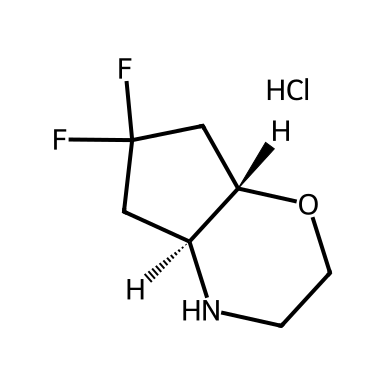 Cl.FC1(F)C[C@@H]2NCCO[C@H]2C1